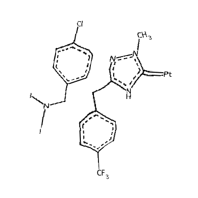 Clc1ccc(CN(I)I)cc1.Cn1nc(Cc2ccc(C(F)(F)F)cc2)[nH][c]1=[Pt]